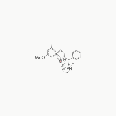 COc1cc(C)cc(CO[C@@H]2C3CCN(CC3)[C@@H]2C(c2ccccc2)c2ccccc2)c1